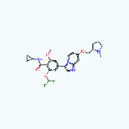 COc1cc(-c2cnc3cc(OCC4CCCN4C)ccn23)cc(OC(F)F)c1C(=O)NC1CC1